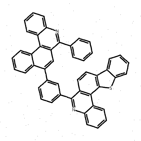 c1ccc(-c2nc3ccccc3c3c2cc(-c2cccc(-c4nc5ccccc5c5c4ccc4c6ccccc6sc45)c2)c2ccccc23)cc1